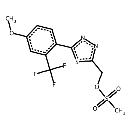 COc1ccc(-c2nnc(COS(C)(=O)=O)s2)c(C(F)(F)F)c1